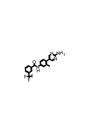 Cc1cc(NC(=O)c2cccc(C(F)(F)F)c2)ccc1-c1cnc(N)nc1